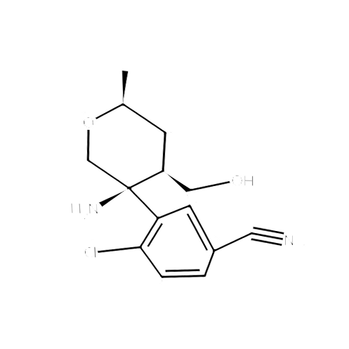 C[C@H]1C[C@@H](CO)[C@](N)(c2cc(C#N)ccc2Cl)CO1